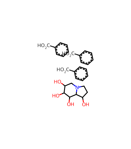 O=C(O)c1ccccc1.O=C(O)c1ccccc1.O=C(O)c1ccccc1.OC1CN2CCC(O)C2C(O)C1O